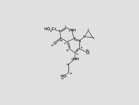 O=C(O)c1c[nH]c2c(C3CC3)c(Cl)c(NCCO)cc2c1=O